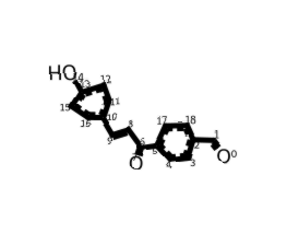 O=Cc1ccc(C(=O)C=Cc2ccc(O)cc2)cc1